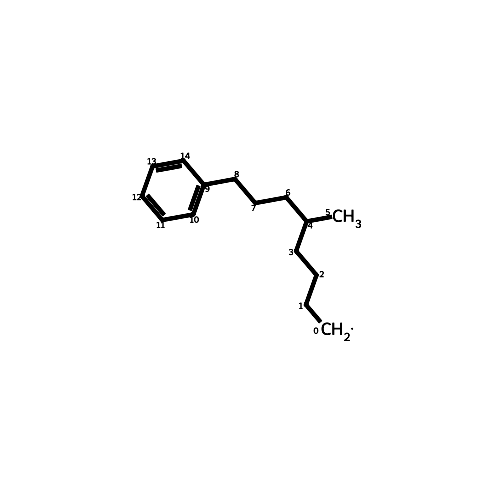 [CH2]CCCC(C)CCCc1ccccc1